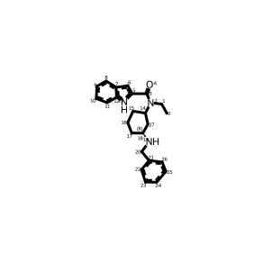 CCN(C(=O)c1cc2ccccc2[nH]1)C1CCC[C@@H](NCc2ccccc2)C1